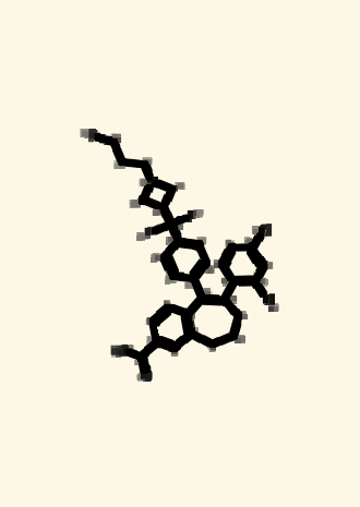 O=C(O)c1ccc2c(c1)CCCC(c1ccc(Cl)cc1Cl)=C2c1ccc(C(F)(F)C2CN(CCCF)C2)cc1